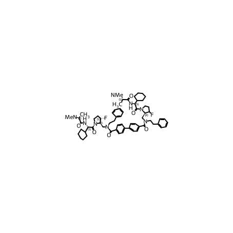 CN[C@@H](C)C(=O)N[C@H](C(=O)N1CCC(F)[C@H]1CN(CCc1ccccc1)C(=O)c1ccc(-c2ccc(C(=O)N(CCc3ccccc3)C[C@@H]3[C@@H](F)CCN3C(=O)[C@@H](NC(=O)[C@H](C)NC)C3CCCCC3)cc2)cc1)C1CCCCC1